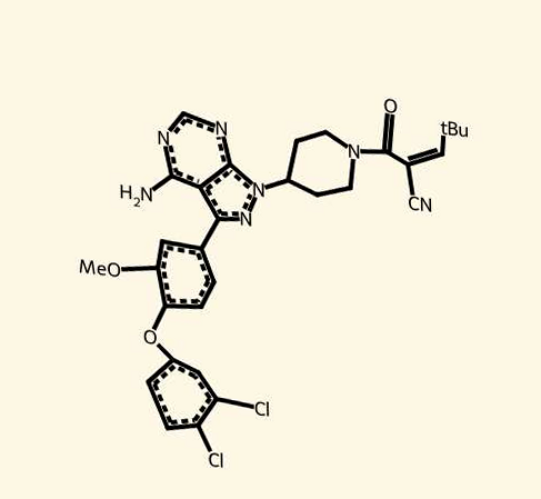 COc1cc(-c2nn(C3CCN(C(=O)/C(C#N)=C\C(C)(C)C)CC3)c3ncnc(N)c23)ccc1Oc1ccc(Cl)c(Cl)c1